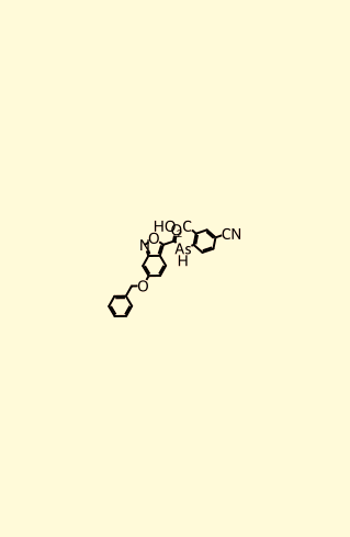 N#Cc1ccc([AsH]C(=O)c2onc3cc(OCc4ccccc4)ccc23)c(C(=O)O)c1